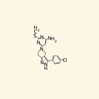 CSc1nc(N)cc(N2CCc3n[nH]c(-c4ccc(Cl)cc4)c3C2)n1